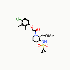 COC[C@H]1C(NS(=O)(=O)C2CC2)CCCN1C(=O)COc1ccc(Cl)c(C)c1C